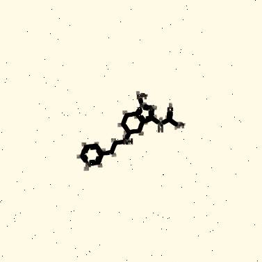 CCCn1nc(NC(=O)C(C)C)c2c1CCC(NCCc1cccnc1)C2